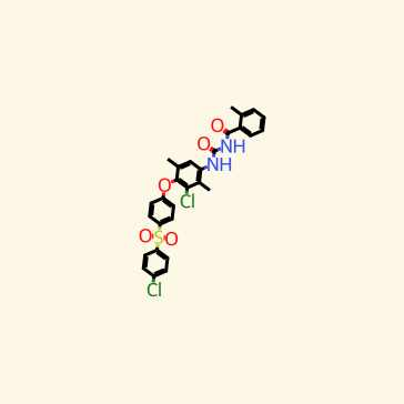 Cc1ccccc1C(=O)NC(=O)Nc1cc(C)c(Oc2ccc(S(=O)(=O)c3ccc(Cl)cc3)cc2)c(Cl)c1C